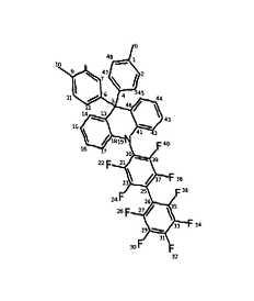 Cc1ccc(C2(c3ccc(C)cc3)c3ccccc3N(c3c(F)c(F)c(-c4c(F)c(F)c(F)c(F)c4F)c(F)c3F)c3ccccc32)cc1